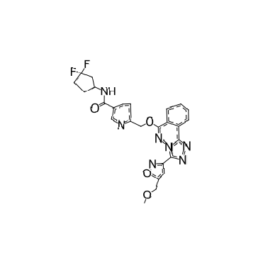 COCc1cc(-c2nnc3c4ccccc4c(OCc4ccc(C(=O)NC5CCC(F)(F)C5)cn4)nn23)no1